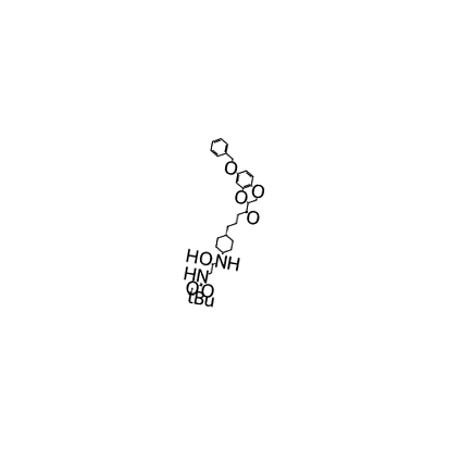 CC(C)(C)OC(=O)NCC(O)N[C@H]1CC[C@@H](CCCC(=O)C2COc3ccc(OCc4ccccc4)cc3O2)CC1